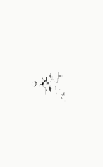 CN(C)C(=O)OC[C@H]1O[C@@H]2SC(N3CCC3)=N[C@@H]2[C@@H](O)[C@H]1O